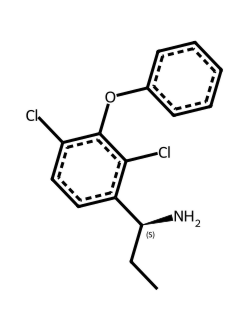 CC[C@H](N)c1ccc(Cl)c(Oc2ccccc2)c1Cl